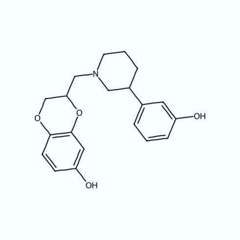 Oc1cccc(C2CCCN(CC3COc4ccc(O)cc4O3)C2)c1